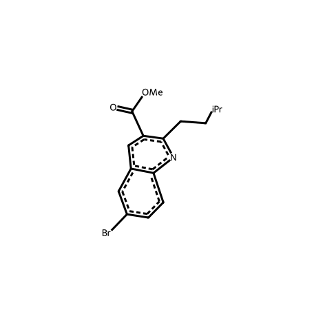 COC(=O)c1cc2cc(Br)ccc2nc1CCC(C)C